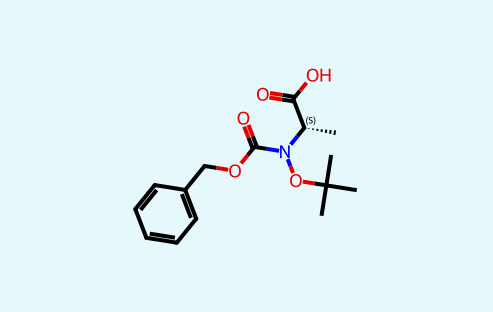 C[C@@H](C(=O)O)N(OC(C)(C)C)C(=O)OCc1ccccc1